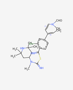 C/C=C(\C=C/N(C)C=O)c1ccc(C(=N)SC(=N)N(C)C2CC(C)(C)NC(C)(C)C2)c(Cl)c1